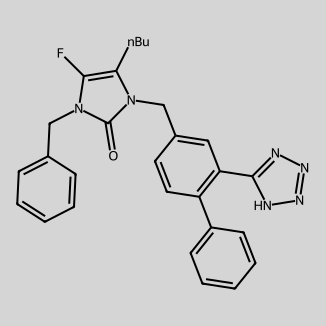 CCCCc1c(F)n(Cc2ccccc2)c(=O)n1Cc1ccc(-c2ccccc2)c(-c2nnn[nH]2)c1